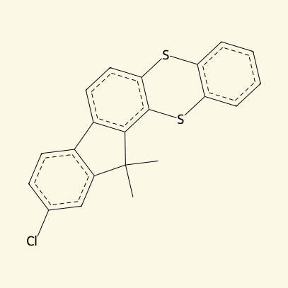 CC1(C)c2cc(Cl)ccc2-c2ccc3c(c21)Sc1ccccc1S3